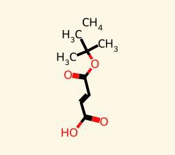 C.CC(C)(C)OC(=O)C=CC(=O)O